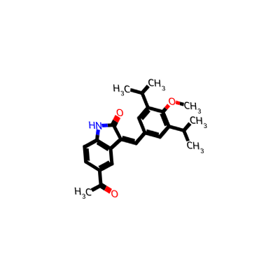 COc1c(C(C)C)cc(C=C2C(=O)Nc3ccc(C(C)=O)cc32)cc1C(C)C